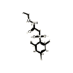 CCONC(=O)CS(=O)(=O)c1c(C)cc(C)cc1C